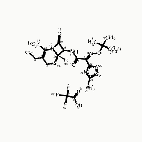 CC(C)(ON=C(C(=O)N[C@@H]1C(=O)N2C(C(=O)O)=C(CCl)CS[C@@H]12)c1nsc(N)n1)C(=O)O.O=C(O)C(F)(F)F